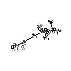 CC1=C(/C=C/C(C)=C/C=C/C(C)=C/C(=O)NCCCCCCNC(=O)CCCCCN2/C(=C/C=C3\CCCC(/C=C/C4=[N+](CCCCS(=O)(=O)O)c5ccc(S(=O)(=O)O)cc5C4(C)C)=C3Oc3ccc(S(=O)(=O)O)cc3)C(C)(C)c3cc(S(=O)(=O)O)ccc32)C(C)(C)CCC1